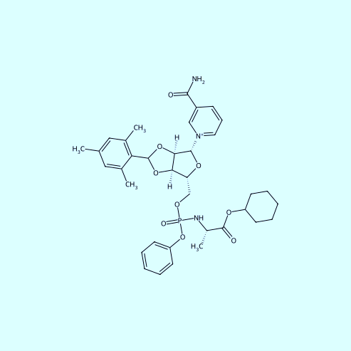 Cc1cc(C)c(C2O[C@@H]3[C@H](O2)[C@@H](COP(=O)(N[C@@H](C)C(=O)OC2CCCCC2)Oc2ccccc2)O[C@H]3[n+]2cccc(C(N)=O)c2)c(C)c1